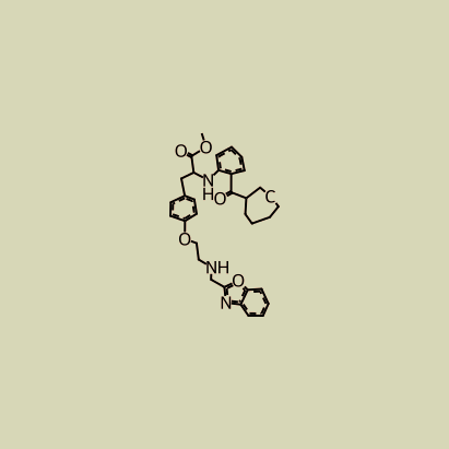 COC(=O)C(Cc1ccc(OCCNCc2nc3ccccc3o2)cc1)Nc1ccccc1C(=O)C1CCCCCC1